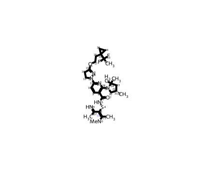 CN/C(C)=C(/SNC(=O)c1ccc(N2CCC(OCCC3(C(C)(F)F)CC3)=N2)nc1N1C[C@@H](C)CC1(C)C)C(C)=N